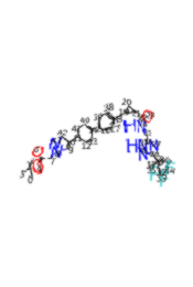 CC(C)(C)OC(=O)Cn1cc(-c2ccc(-c3ccc([C@H]4C[C@@H]4C(=O)NCc4nc(C(C)(C)C(F)(F)F)n[nH]4)cc3)cc2)cn1